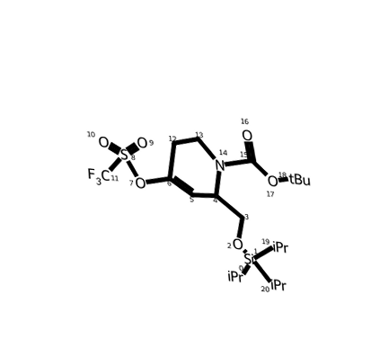 CC(C)[Si](OCC1C=C(OS(=O)(=O)C(F)(F)F)CCN1C(=O)OC(C)(C)C)(C(C)C)C(C)C